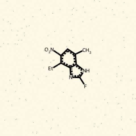 CCc1c([N+](=O)[O-])cc(C)c2[nH]c(F)nc12